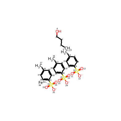 CCCCO.Cc1ccc(S(=O)(=O)[O-])cc1.Cc1ccc(S(=O)(=O)[O-])cc1.Cc1ccc(S(=O)(=O)[O-])cc1.[Fe+3]